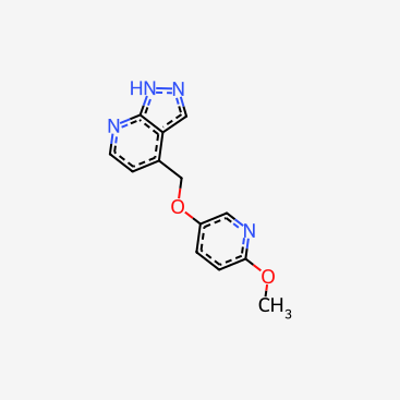 COc1ccc(OCc2ccnc3[nH]ncc23)cn1